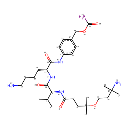 CC(C)[C@H](NC(=O)CCC(C)(C)OCCC(C)(C)N)C(=O)N[C@@H](CCCCN)C(=O)Nc1ccc(COC(=O)P)cc1